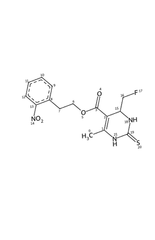 CC1=C(C(=O)OCCc2ccccc2[N+](=O)[O-])C(CF)NC(=S)N1